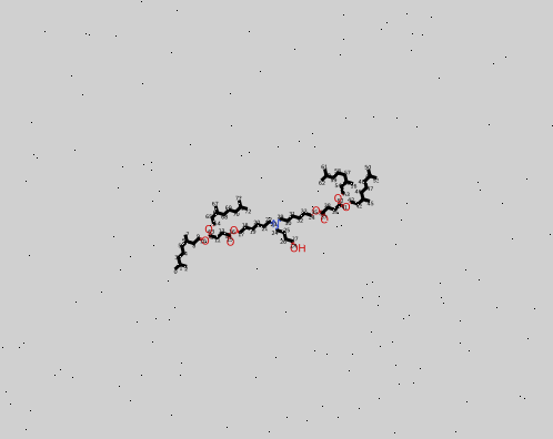 CC(C)CCCC(C)CCOC(CCC(=O)OCCCCCCN(CCCCO)CCCCCCOC(=O)CCC(OCCC(C)CCCC(C)C)OCCC(C)CCCC(C)C)OCCC(C)CCCC(C)C